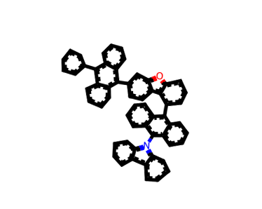 c1ccc(-c2c3ccccc3c(-c3ccc4c(c3)oc3cccc(-c5c6ccccc6c(-n6c7ccccc7c7ccccc76)c6ccccc56)c34)c3ccccc23)cc1